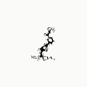 C=CC(=O)N1CCC=C(c2nc(C(C)C(=O)O)cs2)C1